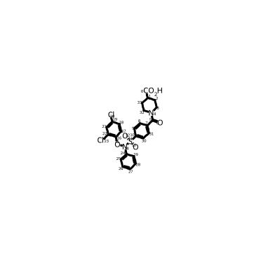 O=C(O)C1CCN(C(=O)c2ccc(S(=O)(=O)N(Oc3ccc(Cl)cc3Cl)c3ccccc3)cc2)CC1